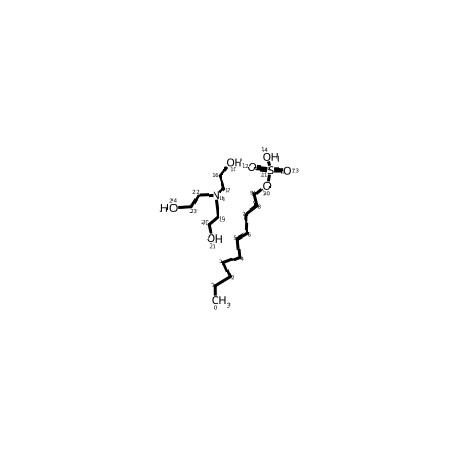 CCCCCCCCCCOS(=O)(=O)O.OCCN(CCO)CCO